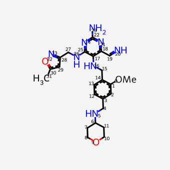 COc1cc(CNC2CCOCC2)ccc1CNc1c(C=N)nc(N)nc1NCc1cc(C)on1